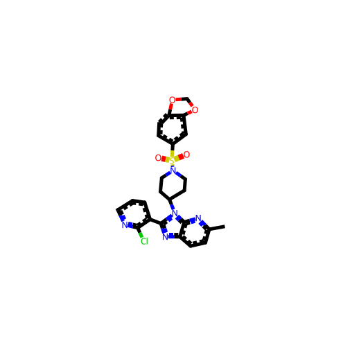 Cc1ccc2nc(-c3cccnc3Cl)n(C3CCN(S(=O)(=O)c4ccc5c(c4)OCO5)CC3)c2n1